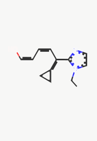 CCn1ccnc1C(/C=C\C=C/O)=C1CC1